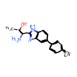 C[C@@H](O)[C@H](N)c1nc2cc(-c3ccc(C#N)cc3)ccc2[nH]1